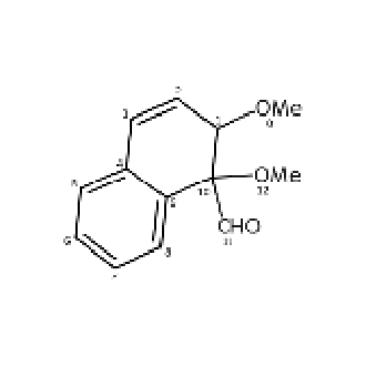 COC1C=Cc2ccccc2C1(C=O)OC